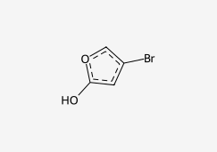 Oc1cc(Br)co1